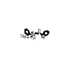 COc1ccccc1S(=O)(=O)NCCNc1nsc2ccccc12